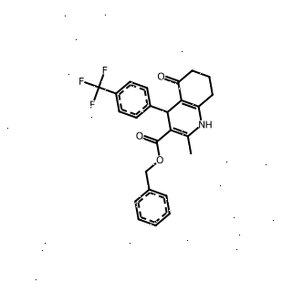 CC1=C(C(=O)OCc2ccccc2)C(c2ccc(C(F)(F)F)cc2)C2=C(CCCC2=O)N1